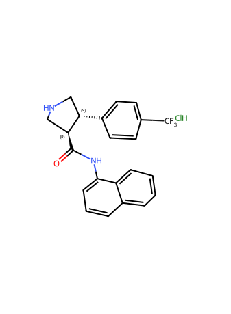 Cl.O=C(Nc1cccc2ccccc12)[C@H]1CNC[C@@H]1c1ccc(C(F)(F)F)cc1